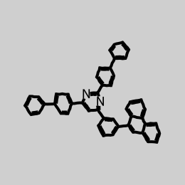 c1ccc(-c2ccc(-c3cc(-c4cccc(-c5cc6ccccc6c6ccccc56)c4)nc(-c4ccc(-c5ccccc5)cc4)n3)cc2)cc1